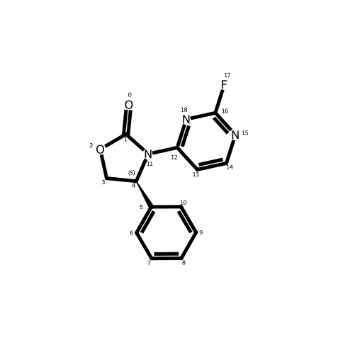 O=C1OC[C@H](c2ccccc2)N1c1ccnc(F)n1